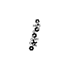 Cc1c(C(=O)Nc2ccc(Oc3ccnc(NC(=S)N4CCCC4)c3)cn2)c(=O)n(-c2ccccc2)n1C